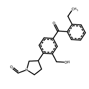 CCc1ccccc1C(=O)c1ccc(C2CCN(C=O)C2)c(CO)c1